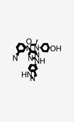 C[C@@H]1C(=O)N(c2cccc(C#N)c2)c2cnc(Nc3ccc4[nH]ncc4c3)nc2N1[C@H]1CC[C@@H](O)CC1